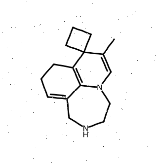 CC1=CN2CCNCC3=CCCC(=C32)C12CCC2